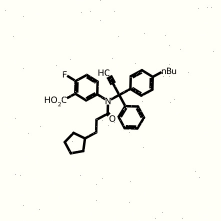 C#CC(c1ccccc1)(c1ccc(CCCC)cc1)N(C(=O)CCC1CCCC1)c1ccc(F)c(C(=O)O)c1